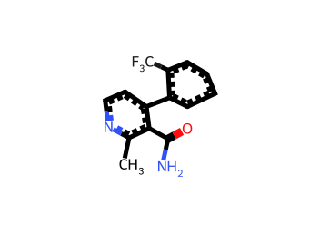 Cc1nccc(-c2ccccc2C(F)(F)F)c1C(N)=O